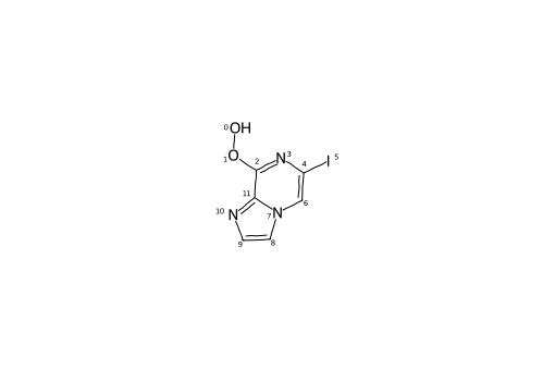 OOc1nc(I)cn2ccnc12